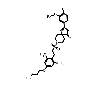 Cc1cc(OCCCO)cc(C)c1CCS(=O)(=O)N1CCC2(CC1)N=C(c1ccc(F)c(OC(F)(F)F)c1)NC2=O